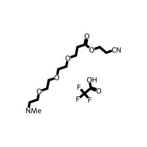 CNCCOCCOCCOCCC(=O)OCCC#N.O=C(O)C(F)(F)F